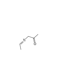 C[CH]=[Ti][CH2]C(C)=O